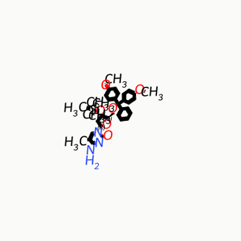 COc1ccc(C(OC[C@H]2O[C@@H](n3cc(C)c(N)nc3=O)C[C@H]2O[Si](C)(C)C(C)(C)C)(c2ccccc2)c2ccc(OC)cc2)cc1